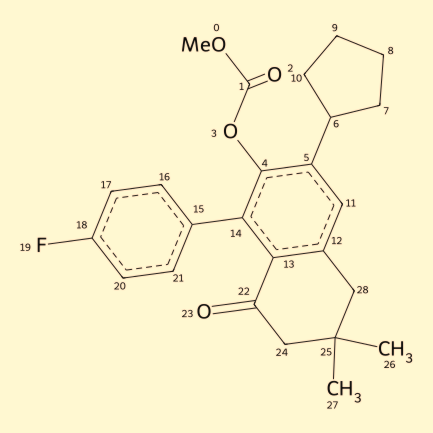 COC(=O)Oc1c(C2CCCC2)cc2c(c1-c1ccc(F)cc1)C(=O)CC(C)(C)C2